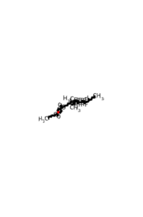 C=CCCCCOC(=O)c1ccc(C(=O)OCCCCC(I)C(CC)(CCC)C(F)(F)C(F)(F)C(F)(F)C(F)(F)C(F)(F)C(F)(F)CC(I)CCCC)cc1